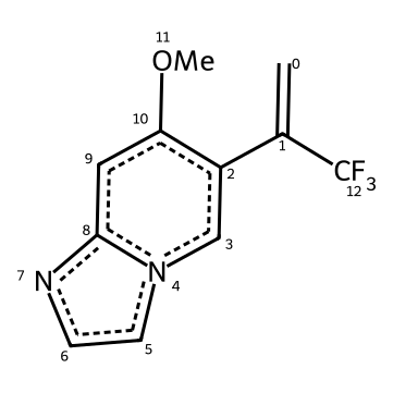 C=C(c1cn2ccnc2cc1OC)C(F)(F)F